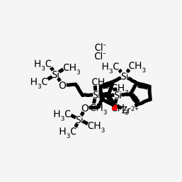 C[Si](C)(C)OCC[Si](C)(C)C1=[C]2CC=C1[Si](C)(C)C1=CC[C](=C1[Si](C)(C)CCO[Si](C)(C)C)[Zr+2]2.[Cl-].[Cl-]